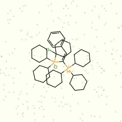 ClC1(P(Cl)(C(=Cc2ccccc2)[PH](C2CCCCC2)(C2CCCCC2)C2CCCCC2)(C2CCCCC2)C2CCCCC2)CCCCC1